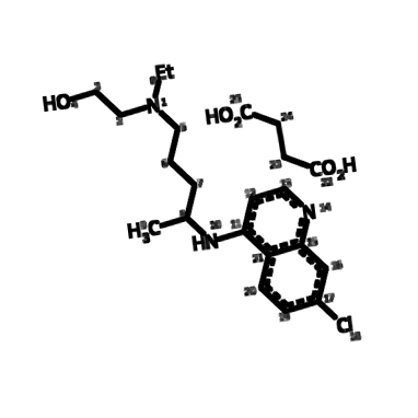 CCN(CCO)CCCC(C)Nc1ccnc2cc(Cl)ccc12.O=C(O)CCC(=O)O